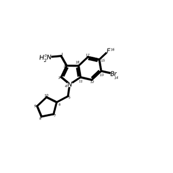 NCc1cn(CC2CCCC2)c2cc(Br)c(F)cc12